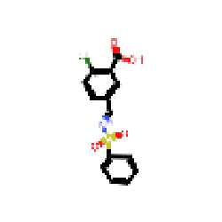 O=C(O)c1cc(/C=N/S(=O)(=O)c2ccccc2)ccc1Cl